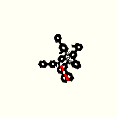 Cc1ccccc1-c1cc2c3c(c1)N(c1ccc(-c4ccccc4)cc1C)c1ccc(N(c4ccc(-c5ccccc5)cc4)c4ccc(-c5ccccc5)cc4)cc1B3N(c1cccc(-c3ccccc3)c1)c1ccccc1-2